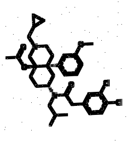 COc1cccc([C@@]23CCN(CC4CC4)C[C@@]2(OC(C)=O)CC[C@@H](N(CC(C)C)C(=O)Cc2ccc(Cl)c(Cl)c2)C3)c1